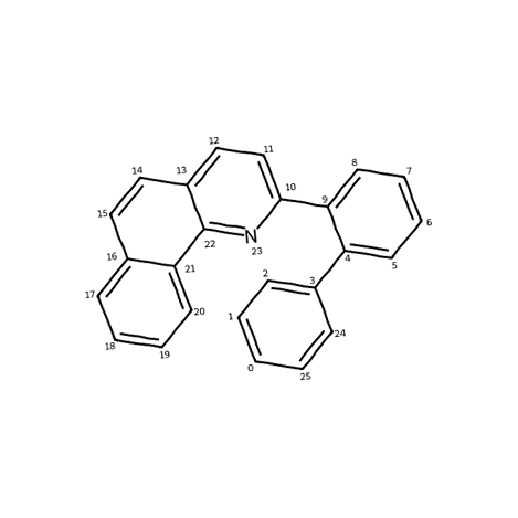 c1ccc(-c2ccccc2-c2ccc3ccc4ccccc4c3n2)cc1